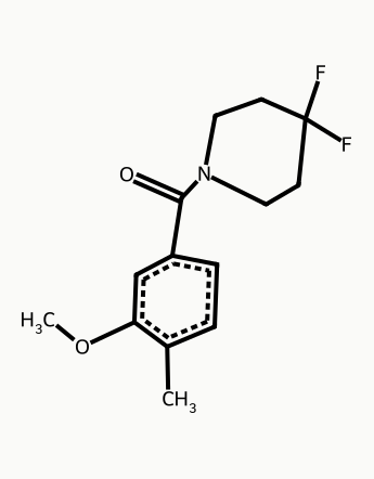 COc1cc(C(=O)N2CCC(F)(F)CC2)ccc1C